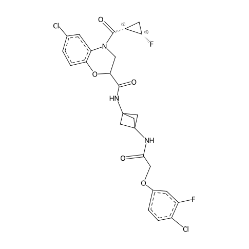 O=C(COc1ccc(Cl)c(F)c1)NC12CC(NC(=O)C3CN(C(=O)[C@@H]4C[C@@H]4F)c4cc(Cl)ccc4O3)(C1)C2